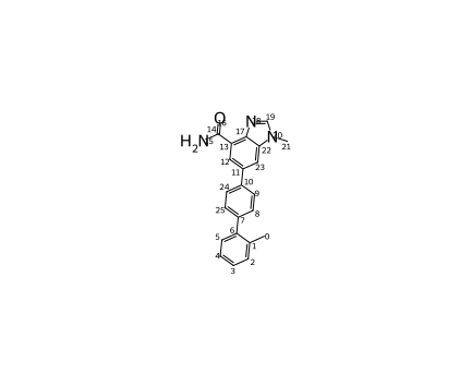 Cc1ccccc1-c1ccc(-c2cc(C(N)=O)c3ncn(C)c3c2)cc1